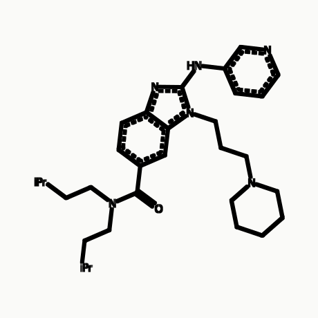 CC(C)CCN(CCC(C)C)C(=O)c1ccc2nc(Nc3cccnc3)n(CCCN3CCCCC3)c2c1